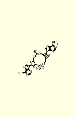 Nc1ncnc2c1ncn2C1OC2CO[P@@](S)OC3C(O)C(COP(=O)(O)OC2C1F)OC3n1cnc2c(N)ncnc21